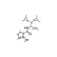 CC(NC(=O)c1ccnn1C(C)C)C(C1CC1)C1CC1